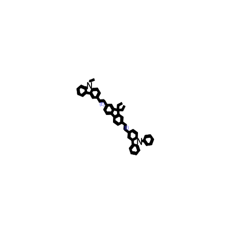 CCn1c2ccccc2c2cc(/C=C/c3ccc4c(c3)C(CC)(CC)c3cc(/C=C/C5=CC6c7ccccc7N(c7ccccc7)C6C=C5)ccc3-4)ccc21